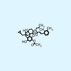 CC(=O)Oc1cc(O)c2c3c1O[C@@H]1[C@@H](N(CC(C)C)C(=O)C=Cc4cccc(C)c4)CC[C@H]4[C@@H](C2)N(CC2CC2)CC[C@]314